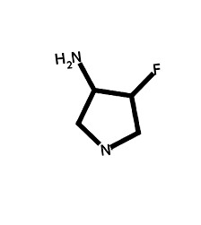 NC1C[N]CC1F